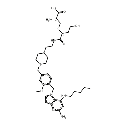 CCCCCNc1nc(N)nc2ccn(Cc3ccc(CN4CCN(CCNC(=O)[C@H](CCO)SC[C@H](N)C(=O)O)CC4)cc3OC)c12